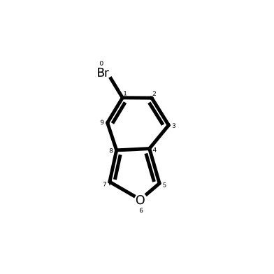 Brc1ccc2co[c]c2c1